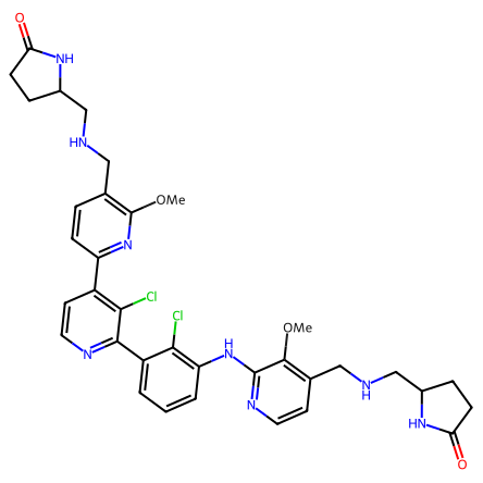 COc1nc(-c2ccnc(-c3cccc(Nc4nccc(CNCC5CCC(=O)N5)c4OC)c3Cl)c2Cl)ccc1CNCC1CCC(=O)N1